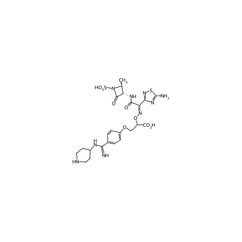 C[C@H]1[C@H](NC(=O)/C(=N\OC(COc2ccc(C(=N)NC3CCNCC3)cc2)C(=O)O)c2nsc(N)n2)C(=O)N1S(=O)(=O)O